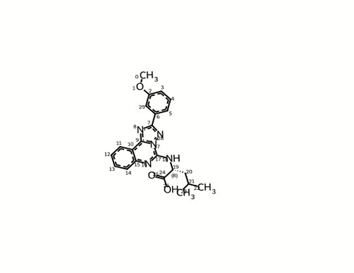 COc1cccc(-c2nc3c4ccccc4nc(N[C@H](CC(C)C)C(=O)O)n3n2)c1